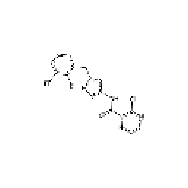 O=C(Nc1nnc(Cc2cccc(Cl)c2Cl)s1)c1nccnc1Cl